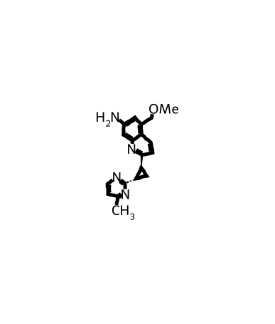 COCc1cc(N)cc2nc([C@H]3C[C@@H]3c3nccc(C)n3)ccc12